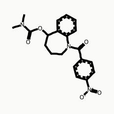 CN(C)C(=O)OC1CCCN(C(=O)c2ccc([N+](=O)[O-])cc2)c2ccccc21